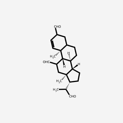 CC(C=O)[C@H]1CC[C@H]2[C@@H]3CCC4CC(C=O)C=C[C@]4(C)[C@H]3C(C=O)C[C@]12C